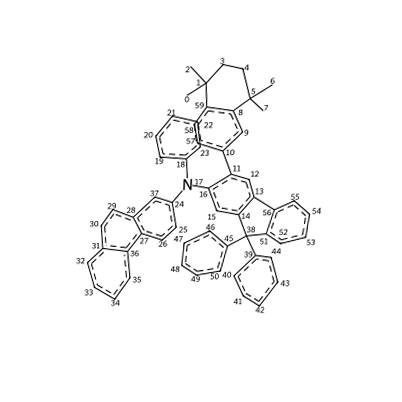 CC1(C)CCC(C)(C)c2cc(-c3cc4c(cc3N(c3ccccc3)c3ccc5c(ccc6ccccc65)c3)C(c3ccccc3)(c3ccccc3)c3ccccc3-4)ccc21